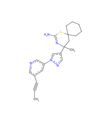 CC#Cc1cncc(-n2cc(C3(C)CC4(CCCCC4)SC(N)=N3)cn2)c1